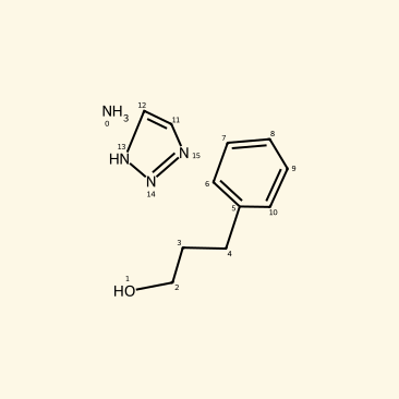 N.OCCCc1ccccc1.c1c[nH]nn1